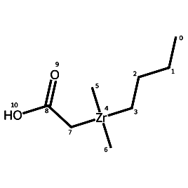 CCC[CH2][Zr]([CH3])([CH3])[CH2]C(=O)O